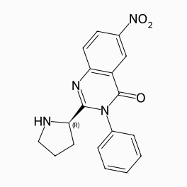 O=c1c2cc([N+](=O)[O-])ccc2nc([C@H]2CCCN2)n1-c1ccccc1